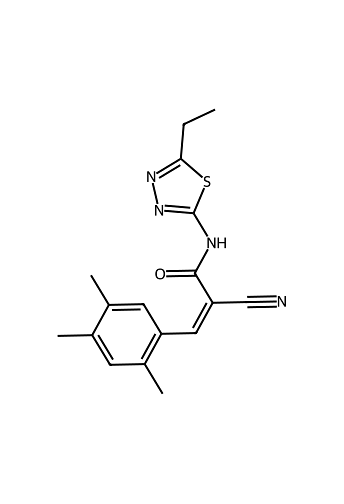 CCc1nnc(NC(=O)C(C#N)=Cc2cc(C)c(C)cc2C)s1